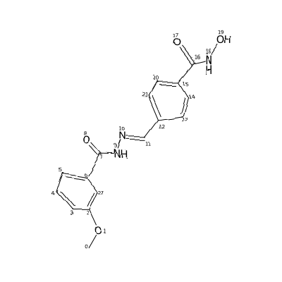 COc1cccc(C(=O)NN=Cc2ccc(C(=O)NO)cc2)c1